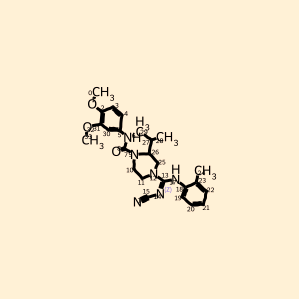 COc1ccc(NC(=O)N2CCN(/C(=N\C#N)Nc3ccccc3C)CC2C(C)C)cc1OC